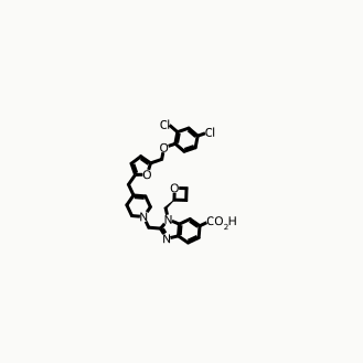 O=C(O)c1ccc2nc(CN3CC=C(Cc4ccc(COc5ccc(Cl)cc5Cl)o4)CC3)n(C[C@@H]3CCO3)c2c1